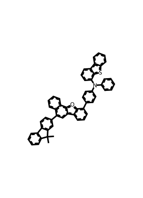 CC1(C)c2ccccc2-c2ccc(-c3cc4c5cccc(-c6ccc(N(c7ccccc7)c7cccc8c7sc7ccccc78)cc6)c5oc4c4ccccc34)cc21